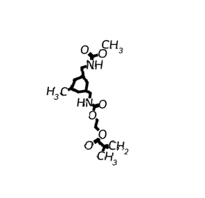 C=C(C)C(=O)OCCOC(=O)NCC1CC(C)CC(CNC(=O)OC)C1